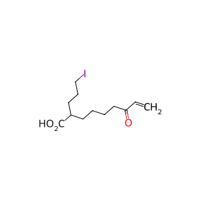 C=CC(=O)CCCCC(CCCI)C(=O)O